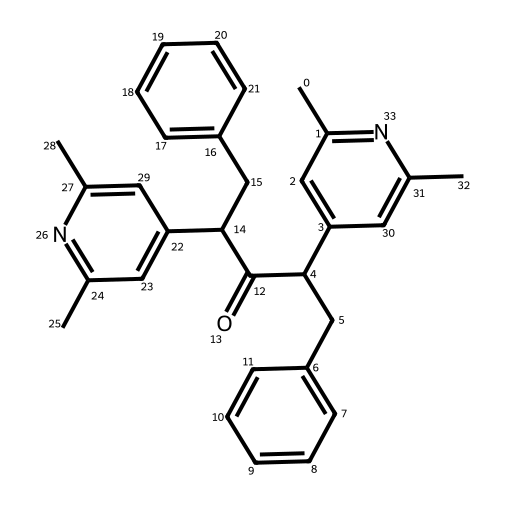 Cc1cc(C(Cc2ccccc2)C(=O)C(Cc2ccccc2)c2cc(C)nc(C)c2)cc(C)n1